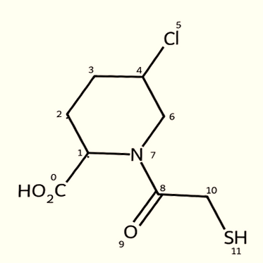 O=C(O)[C]1[CH]CC(Cl)CN1C(=O)CS